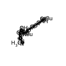 Cc1ncsc1-c1ccc(CNC(=O)[C@@H]2C[C@@H](O)CN2C(=O)[C@@H](NC(=O)COCCOCCOCCOCCNC(=O)OC(C)(C)C)C(C)(C)C)cc1